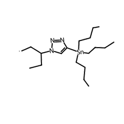 [CH2]CC(CC)n1c[c]([Sn]([CH2]CCC)([CH2]CCC)[CH2]CCC)nn1